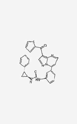 O=C(Nc1cccc(-c2ccnc3c(C(=O)c4cccs4)cnn23)c1)N[C@H]1C[C@@H]1c1ccccc1